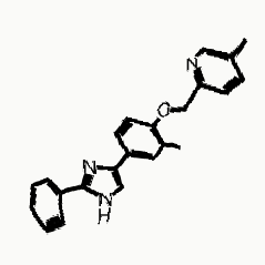 Cc1ccc(COc2ccc(-c3c[nH]c(-c4ccccc4)n3)cc2C)nc1